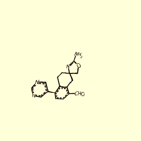 NC1=NC2(CCc3c(-c4cncnc4)ccc(C=O)c3C2)CO1